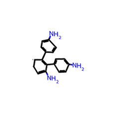 NC1=CC[CH]C(c2ccc(N)cc2)=C1c1ccc(N)cc1